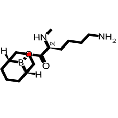 CN[C@@H](CCCCN)C(=O)OB1[C@H]2CCC[C@@H]1CCC2